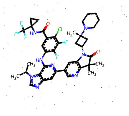 CC(C)n1cnc2cc(-c3cnc4c(c3)N([C@H]3C[C@@](C)(N5CCCCC5)C3)C(=O)C4(C)C)nc(Nc3cc(C(=O)NC4(C(F)(F)F)CC4)c(Cl)c(F)c3F)c21